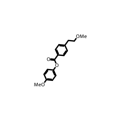 COCCc1ccc(C(=O)Oc2ccc(OC)cc2)cc1